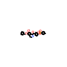 COc1cc2c(cc1OCc1ccccc1)CCN=C2C(=O)c1cccc(OS(=O)(=O)c2ccc(C)cc2)c1